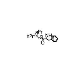 CCCN(CCC)COC(=O)[C@@H](N)Cc1ccccc1